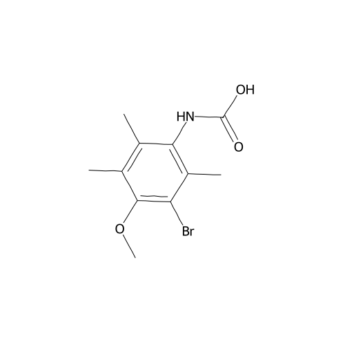 COc1c(C)c(C)c(NC(=O)O)c(C)c1Br